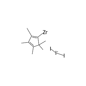 CC1=C(C)C(C)(C)[C]([Zr])=C1C.I[I-]I